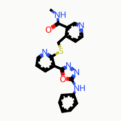 CNC(=O)c1cnccc1CSc1ncccc1-c1nnc(Nc2ccccc2)o1